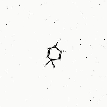 CC1(Cl)[C]=NC(F)N=C1